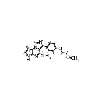 COCCOc1ccc(-c2ncn3c2c(C)nc2[nH]ccc23)cc1